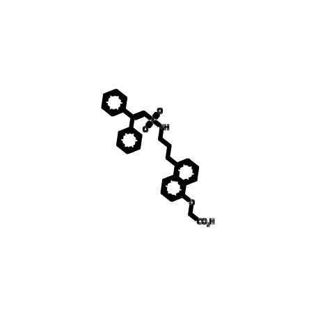 O=C(O)COc1cccc2c(CCCNS(=O)(=O)C=C(c3ccccc3)c3ccccc3)cccc12